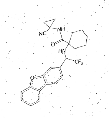 N#CC1(NC(=O)C2(NC(c3ccc4c(c3)oc3ccccc34)C(F)(F)F)CCCCC2)CC1